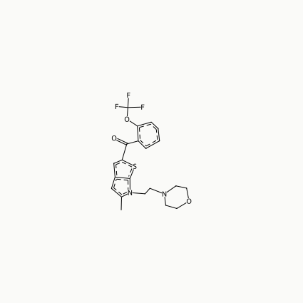 Cc1cc2cc(C(=O)c3ccccc3OC(F)(F)F)sc2n1CCN1CCOCC1